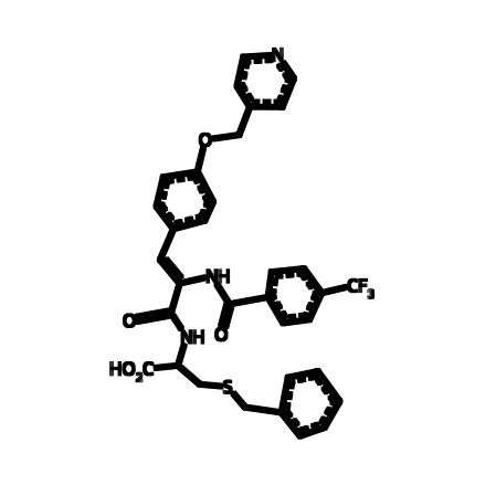 O=C(NC(CSCc1ccccc1)C(=O)O)C(=Cc1ccc(OCc2ccncc2)cc1)NC(=O)c1ccc(C(F)(F)F)cc1